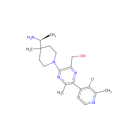 Cc1nc(N2CCC(C)([C@H](C)N)CC2)c(CO)nc1-c1ccnc(C)c1Cl